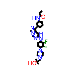 C=CC(=O)Nc1cccc(-c2ncn3cnc(Nc4ccc(N5CCN(CC(C)(C)O)CC5)c(F)c4F)cc23)c1